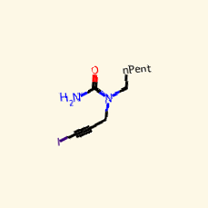 CCCCCCN(CC#CI)C(N)=O